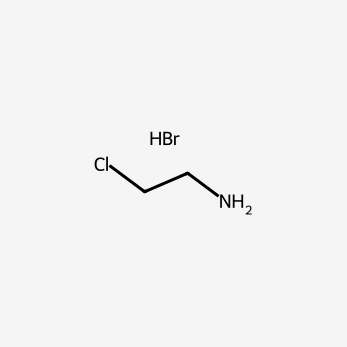 Br.NCCCl